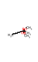 CCCCCCCCCCC(CC)(C(=O)OCC)C(=O)OCC